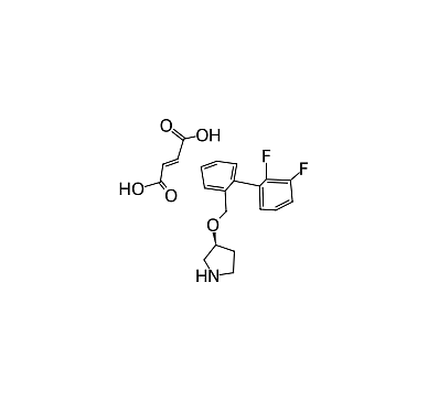 Fc1cccc(-c2ccccc2CO[C@H]2CCNC2)c1F.O=C(O)/C=C/C(=O)O